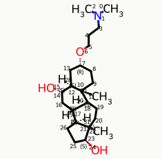 CN(C)CCCO[C@@H]1CC[C@@]2(C)[C@H](C1)[C@@H](O)C[C@@H]1[C@@H]2CC[C@]2(C)[C@@H](O)CC[C@@H]12